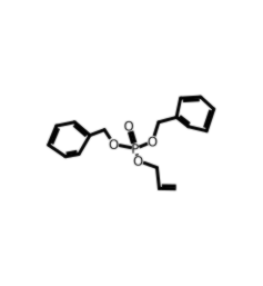 C=CCOP(=O)(OCc1ccccc1)OCc1ccccc1